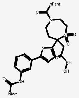 CCCCCC(=O)N1CCC(CC(=O)NO)(c2ccc(-c3cccc(NC(=O)NC)c3)s2)S(=O)(=O)CC1